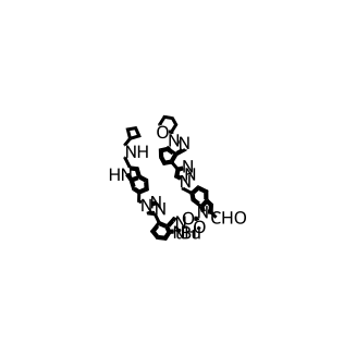 CC(C)(C)OC(=O)n1c(C=O)cc2ccc(Cn3cc(-c4cccc5c4cnn5C4CCCCO4)nn3)cc21.c1cc(-c2cn(Cc3ccc4cc(CNCC5CCC5)[nH]c4c3)nn2)c2cn[nH]c2c1